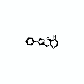 O=C1NCCO[C@H]1Cc1cn(-c2ccccc2)cn1